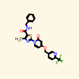 Cc1nc(-n2ccc(OCc3ccc(C(F)(F)F)nc3)cc2=O)sc1C(=O)NCc1ccccc1